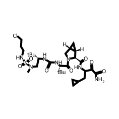 CN(C[C@@H](NC(=O)N[C@H](C(=O)N1C[C@@H]2C[C@@H]2[C@H]1C(=O)NC(CC1CC1)C(=O)C(N)=O)C(C)(C)C)C(C)(C)C)S(=O)(=O)NCCCCl